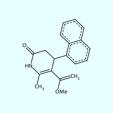 C=C(OC)C1=C(C)NC(=O)CC1c1cccc2ccccc12